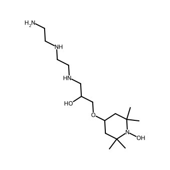 CC1(C)CC(OCC(O)CNCCNCCN)CC(C)(C)N1O